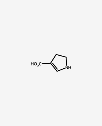 O=C(O)C1=CNCC1